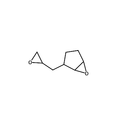 C1OC1CC1CCC2OC12